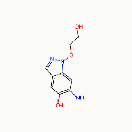 Nc1cc2c(cnn2OCCO)cc1O